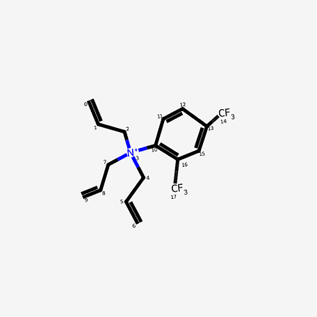 C=CC[N+](CC=C)(CC=C)c1ccc(C(F)(F)F)cc1C(F)(F)F